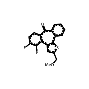 COCc1cc2c(s1)c1ccccc1c(=O)c1ccc(F)c(F)c12